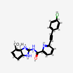 O=C(Nc1nc2c(C(=O)O)cccc2[nH]1)c1cccc(C#Cc2ccc(Cl)cc2)n1